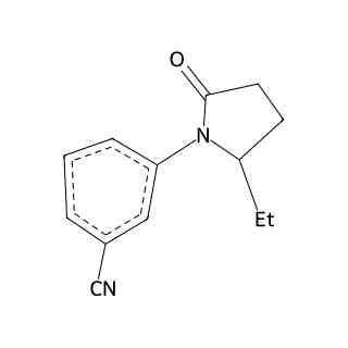 CCC1CCC(=O)N1c1cccc(C#N)c1